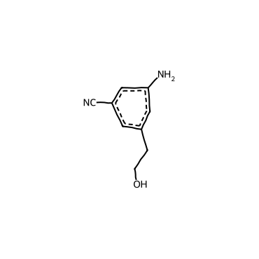 N#Cc1cc(N)cc(CCO)c1